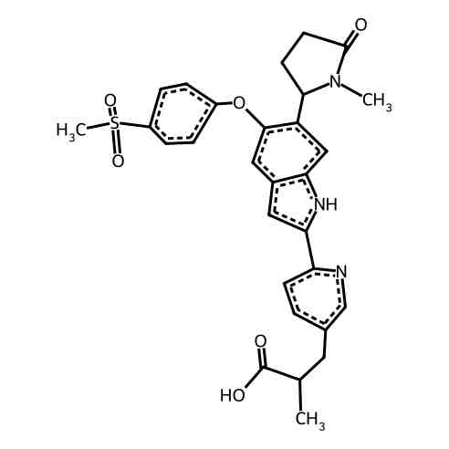 CC(Cc1ccc(-c2cc3cc(Oc4ccc(S(C)(=O)=O)cc4)c(C4CCC(=O)N4C)cc3[nH]2)nc1)C(=O)O